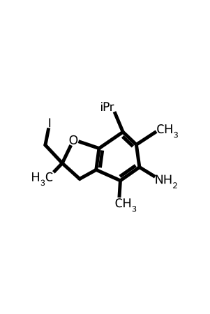 Cc1c(N)c(C)c(C(C)C)c2c1CC(C)(CI)O2